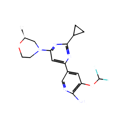 CC[C@H]1CN(c2cc(-c3cnc(N)c(OC(F)F)c3)nc(C3CC3)n2)CCO1